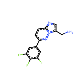 NCc1cnc2ccc(-c3cc(F)c(F)c(F)c3)nn12